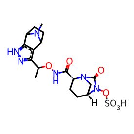 CC(ONC(=O)[C@@H]1CC[C@@H]2CN1C(=O)N2OS(=O)(=O)O)c1n[nH]c2c1C1CCC2N1C